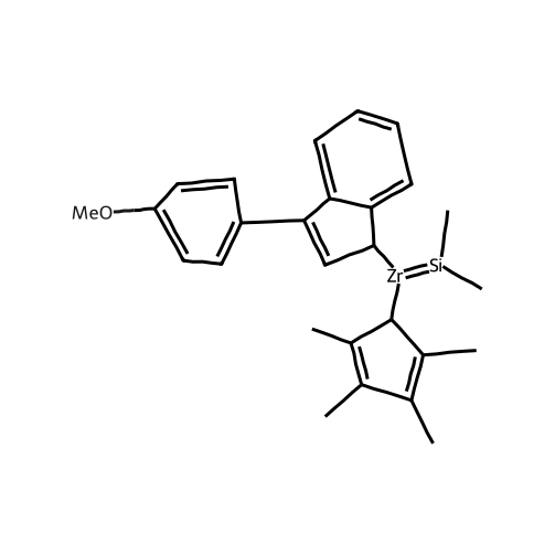 COc1ccc(C2=C[CH]([Zr]([CH]3C(C)=C(C)C(C)=C3C)=[Si](C)C)c3ccccc32)cc1